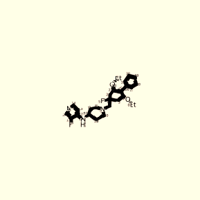 CCOC1=CC(F)(CN2CCC(Nc3ccncc3F)CC2)CC(OCC)=C1c1ccccc1